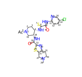 CC(=O)N1CC[C@H](NC(=S)C(=O)Nc2ccc(Cl)cn2)[C@H](NC(=O)c2nc3c(s2)CN(C)CC3)C1